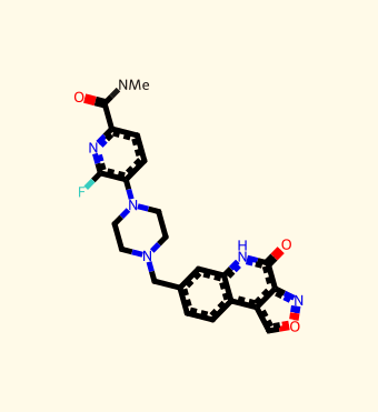 CNC(=O)c1ccc(N2CCN(Cc3ccc4c(c3)[nH]c(=O)c3nocc34)CC2)c(F)n1